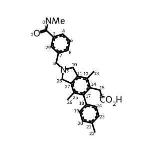 CNC(=O)c1cccc(CN2Cc3c(C)c(CC(=O)O)c(-c4ccc(C)cc4)c(C)c3C2)c1